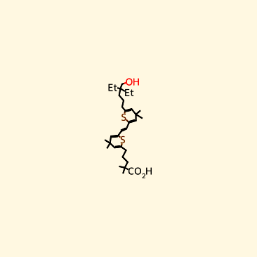 CCC(CC)(CO)CCCC1=CC(C)(C)C=C(C=CC2=CC(C)(C)C=C(CCCC(C)(C)C(=O)O)S2)S1